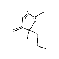 C=C(/C=N\OC)C(C)(C)CCC